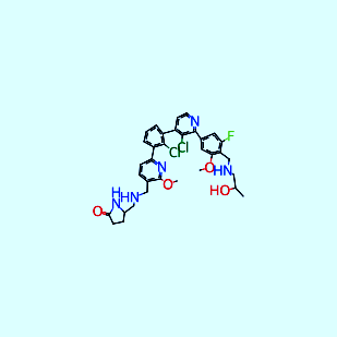 COc1cc(-c2nccc(-c3cccc(-c4ccc(CNCC5CCC(=O)N5)c(OC)n4)c3Cl)c2Cl)cc(F)c1CNCC(C)O